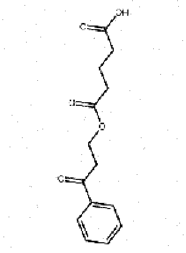 O=C(O)CCCC(=O)OCCC(=O)c1ccccc1